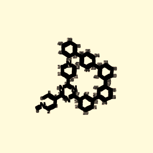 C=N/C=C\C(=C/C)c1nc(-c2ccncc2)nc(-c2cccc(-c3cccc(-c4cccc(-c5ccc(-c6ccccc6)cc5)c4)c3)c2)n1